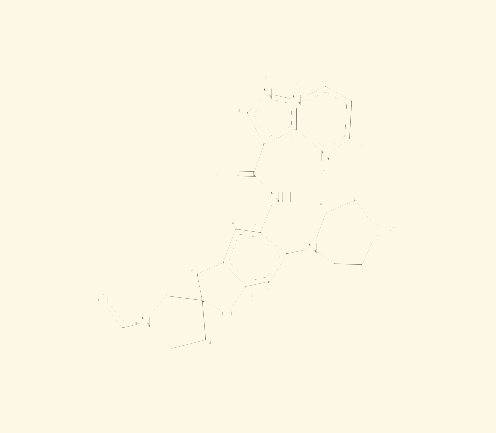 O=CN1CCC2(Cc3cc(NC(=O)c4cnn5cccnc45)c(N4CCOCC4)cc3O2)C1